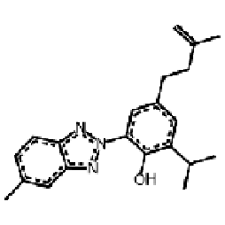 C=C(C)CCc1cc(C(C)C)c(O)c(-n2nc3ccc(C)cc3n2)c1